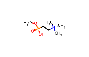 COP(=O)(O)CC[N+](C)(C)C